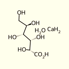 O.O=C(O)[C@H](O)[C@@H](O)[C@H](O)[C@H](O)CO.[CaH2]